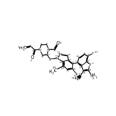 C=CC(=O)N1CCN(C=O)C(Cn2ncc3c(-c4ccc(F)c5sc(N)c(C#N)c45)c(F)cc(C)c32)C1